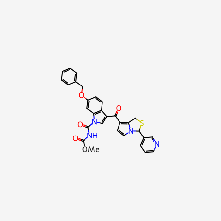 COC(=O)NC(=O)n1cc(C(=O)c2ccn3c2CSC3c2cccnc2)c2ccc(OCc3ccccc3)cc21